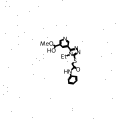 CCn1c(SCC(=O)Nc2ccccc2)nnc1-c1cncc(C(O)OC)c1